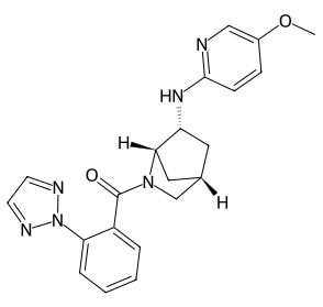 COc1ccc(N[C@@H]2C[C@H]3C[C@@H]2N(C(=O)c2ccccc2-n2nccn2)C3)nc1